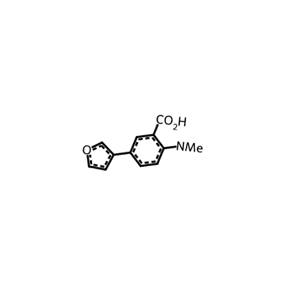 CNc1ccc(-c2ccoc2)cc1C(=O)O